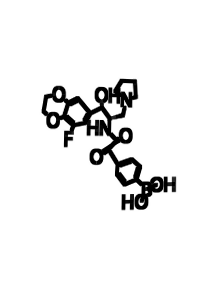 O=C(N[C@H](CN1CCCC1)[C@H](O)c1cc(F)c2c(c1)OCCO2)C(=O)c1ccc(B(O)O)cc1